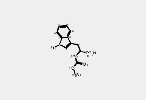 CCn1cc(C[C@H](NC(=O)OC(C)(C)C)C(=O)O)c2ccccc21